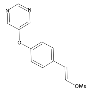 COC=Cc1ccc(Oc2cncnc2)cc1